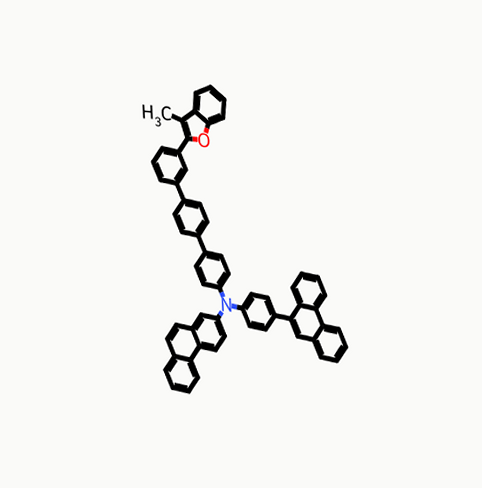 Cc1c(-c2cccc(-c3ccc(-c4ccc(N(c5ccc(-c6cc7ccccc7c7ccccc67)cc5)c5ccc6c(ccc7ccccc76)c5)cc4)cc3)c2)oc2ccccc12